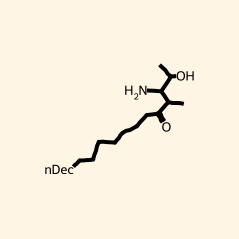 CCCCCCCCCCCCCCCCCC(=O)C(C)C(N)C(C)O